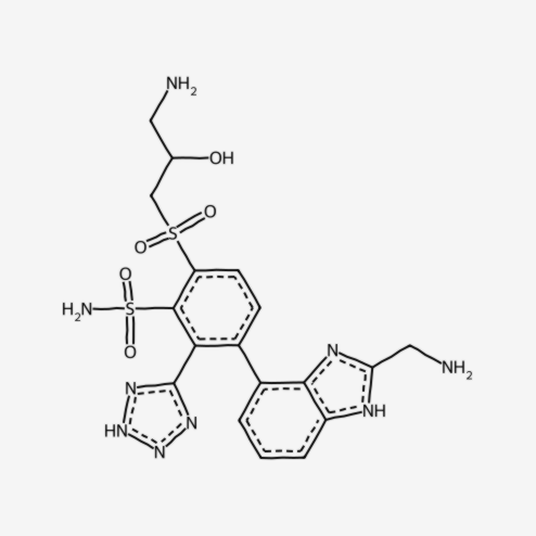 NCc1nc2c(-c3ccc(S(=O)(=O)CC(O)CN)c(S(N)(=O)=O)c3-c3nn[nH]n3)cccc2[nH]1